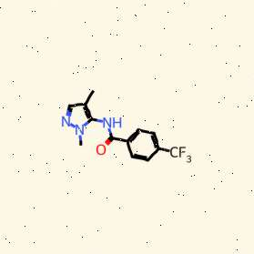 Cc1cnn(C)c1NC(=O)c1ccc(C(F)(F)F)cc1